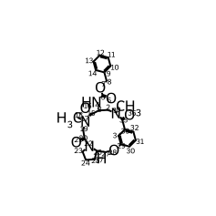 CN1C[C@H](NC(=O)OCc2ccccc2)C(=O)N(C)CC(=O)N2CCC[C@H]2COc2cccc(c2)C1=O